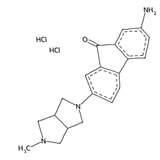 CN1CC2CN(c3ccc4c(c3)C(=O)c3cc(N)ccc3-4)CC2C1.Cl.Cl